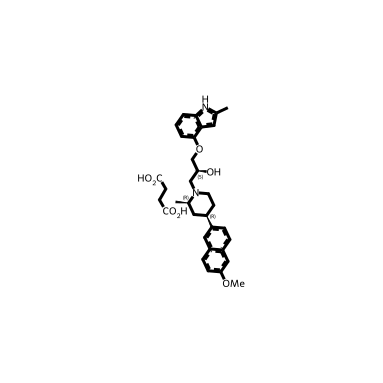 COc1ccc2cc([C@@H]3CCN(C[C@H](O)COc4cccc5[nH]c(C)cc45)[C@H](C)C3)ccc2c1.O=C(O)CCC(=O)O